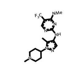 CNc1nc(Nc2cnn(C3CCN(C)CC3)c2C)ncc1C(F)(F)F